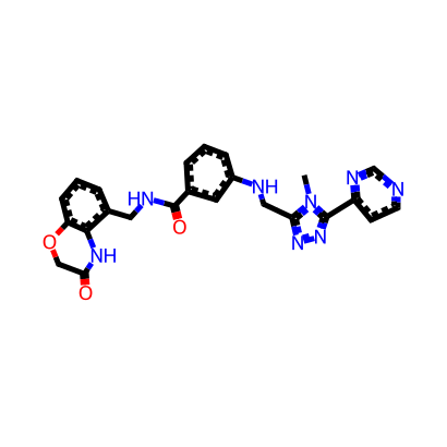 Cn1c(CNc2cccc(C(=O)NCc3cccc4c3NC(=O)CO4)c2)nnc1-c1ccncn1